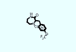 O=C1NCCCN(C(=O)O)C1Cc1ccc(OC(F)(F)F)cc1